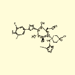 Cc1conc1[C@H](S[C@@H]1O[C@H](CO)[C@H](O)[C@H](n2cc(-c3cc(F)c(F)c(F)c3)nn2)[C@H]1O)C1(O)CCS(=O)(=O)CC1